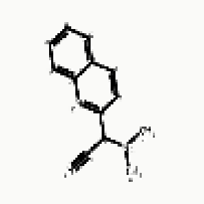 CN(C)C(C#N)c1ccc2ccccc2n1